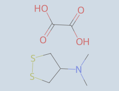 CN(C)C1CSSC1.O=C(O)C(=O)O